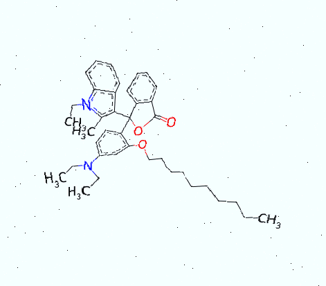 CCCCCCCCCCOc1cc(N(CC)CC)ccc1C1(c2c(C)n(CC)c3ccccc23)OC(=O)c2ccccc21